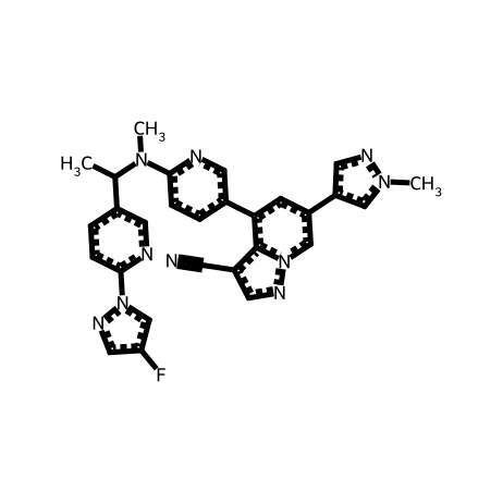 CC(c1ccc(-n2cc(F)cn2)nc1)N(C)c1ccc(-c2cc(-c3cnn(C)c3)cn3ncc(C#N)c23)cn1